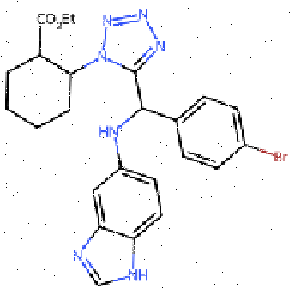 CCOC(=O)C1CCCCC1n1nnnc1C(Nc1ccc2[nH]cnc2c1)c1ccc(Br)cc1